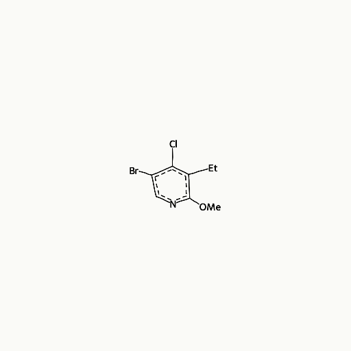 CCc1c(OC)ncc(Br)c1Cl